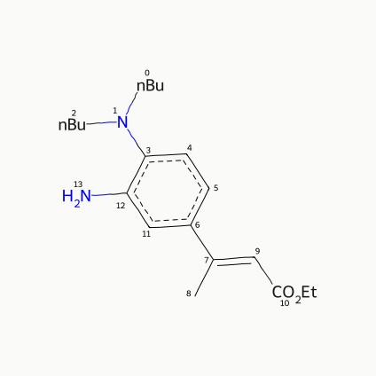 CCCCN(CCCC)c1ccc(C(C)=CC(=O)OCC)cc1N